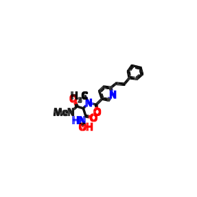 CNC(=O)C(C(=O)NO)N(C)C(=O)c1ccc(/C=C/c2ccccc2)nc1